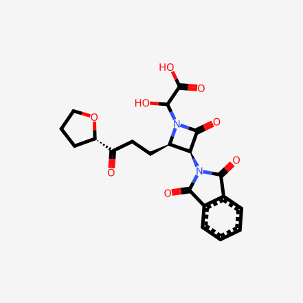 O=C(O)C(O)N1C(=O)[C@@H](N2C(=O)c3ccccc3C2=O)[C@H]1CCC(=O)[C@@H]1CCCO1